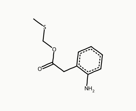 CSCOC(=O)Cc1ccccc1N